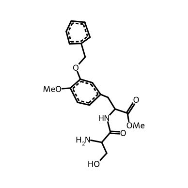 COC(=O)C(Cc1ccc(OC)c(OCc2ccccc2)c1)NC(=O)C(N)CO